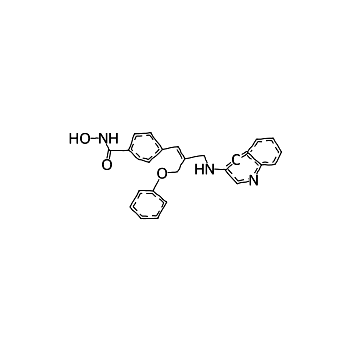 O=C(NO)c1ccc(/C=C(/CNc2cnc3ccccc3c2)COc2ccccc2)cc1